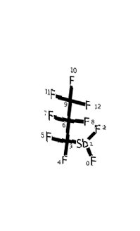 [F][Sb]([F])[C](F)(F)C(F)(F)C(F)(F)F